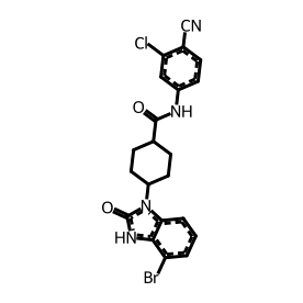 N#Cc1ccc(NC(=O)C2CCC(n3c(=O)[nH]c4c(Br)cccc43)CC2)cc1Cl